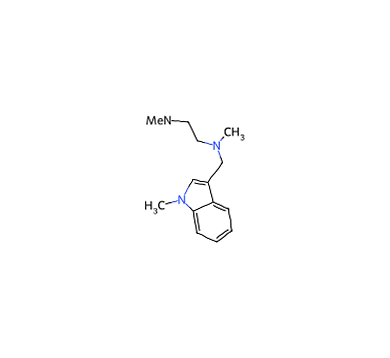 CNCCN(C)Cc1cn(C)c2ccccc12